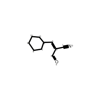 N#CC(C=O)=CC1CCCCC1